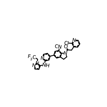 N#Cc1cc(-c2ccnc(Nc3ccnn3CC(F)(F)F)c2)cc2c1N(C(=O)Cc1cccnc1Cl)CC2